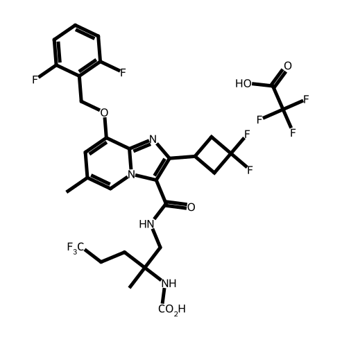 Cc1cc(OCc2c(F)cccc2F)c2nc(C3CC(F)(F)C3)c(C(=O)NCC(C)(CCC(F)(F)F)NC(=O)O)n2c1.O=C(O)C(F)(F)F